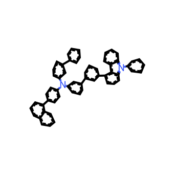 c1ccc(-c2cccc(N(c3ccc(-c4cccc5ccccc45)cc3)c3cccc(-c4cccc(-c5cccc6c5c5ccccc5n6-c5ccccc5)c4)c3)c2)cc1